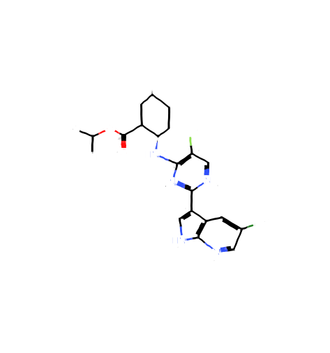 CC(C)OC(=O)C1CCCC[C@H]1Nc1nc(-c2c[nH]c3ncc(Cl)cc23)ncc1F